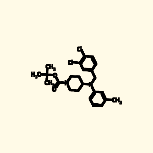 Cc1cccc(N(Cc2ccc(Cl)c(Cl)c2)C2CCN(C(=O)OC(C)(C)C)CC2)c1